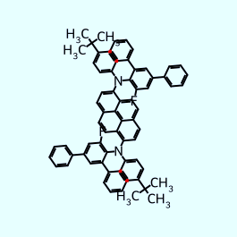 CC(C)(C)c1ccc(N(c2c(F)cc(-c3ccccc3)cc2-c2ccccc2)c2ccc3ccc4c(N(c5ccc(C(C)(C)C)cc5)c5c(F)cc(-c6ccccc6)cc5-c5ccccc5)ccc5ccc2c3c54)cc1